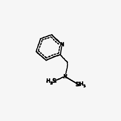 [SiH3]N([SiH3])Cc1ccccn1